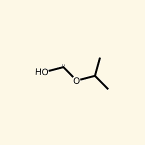 CC(C)O[C]O